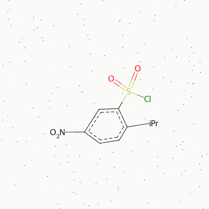 CC(C)c1ccc([N+](=O)[O-])cc1S(=O)(=O)Cl